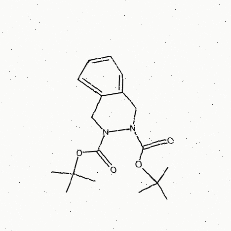 CC(C)(C)OC(=O)N1Cc2ccccc2CN1C(=O)OC(C)(C)C